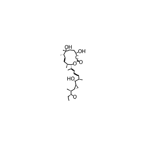 CC[C@H](OC)[C@@H](C)[C@H]1C[C@@H]1[C@H](O)[C@H](C)/C=C/C=C(\C)[C@H]1OC(=O)C[C@H](O)CC[C@@](C)(O)[C@@H](C)/C=C/[C@@H]1C